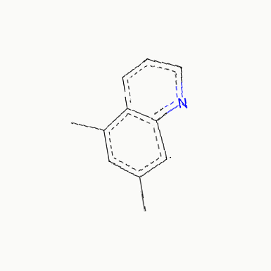 Cc1[c]c2ncccc2c(C)c1